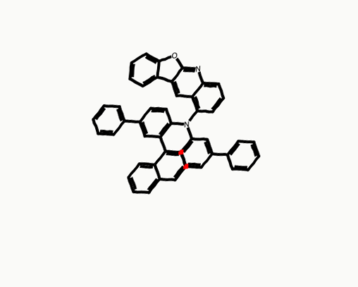 c1ccc(-c2cccc(N(c3ccc(-c4ccccc4)cc3-c3cccc4ccccc34)c3cccc4nc5oc6ccccc6c5cc34)c2)cc1